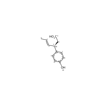 CC=C[C@@H](CC(=O)O)c1ccc(O)cc1